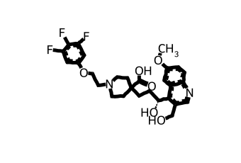 COc1ccc2ncc(CO)c([C@H](O)CCC3(C(=O)O)CCN(CCOc4cc(F)c(F)c(F)c4)CC3)c2c1